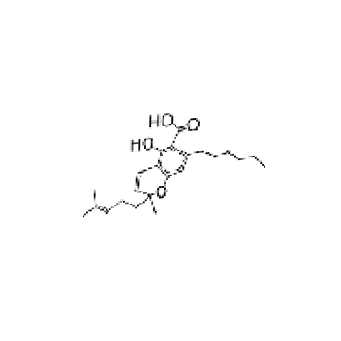 CCCCCCc1cc2c(c(O)c1C(=O)O)C=CC(C)(CCC=C(C)C)O2